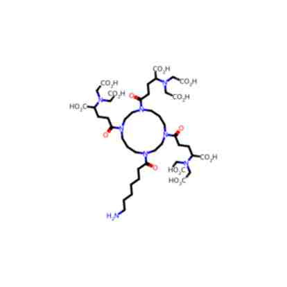 NCCCCCCC(=O)N1CCCN(C(=O)CCC(C(=O)O)N(CC(=O)O)CC(=O)O)CCN(C(=O)CCC(C(=O)O)N(CC(=O)O)CC(=O)O)CCCN(C(=O)CCC(C(=O)O)N(CC(=O)O)CC(=O)O)CC1